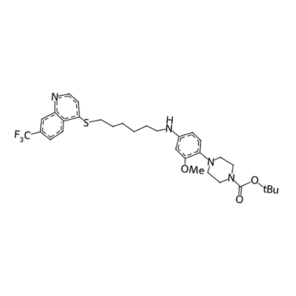 COc1cc(NCCCCCCSc2ccnc3cc(C(F)(F)F)ccc23)ccc1N1CCN(C(=O)OC(C)(C)C)CC1